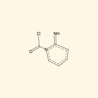 N=c1ccccn1C(=O)Cl